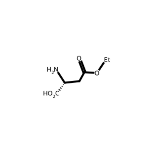 CCOC(=O)C[C@@H](N)C(=O)O